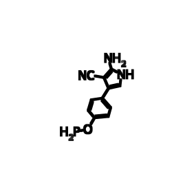 N#Cc1c(-c2ccc(OP)cc2)c[nH]c1N